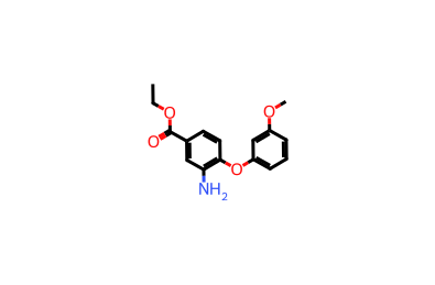 CCOC(=O)c1ccc(Oc2cccc(OC)c2)c(N)c1